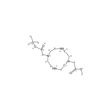 COC(=O)CN1CCNCCN(CC(=O)OC(C)(C)C)CCNCC1